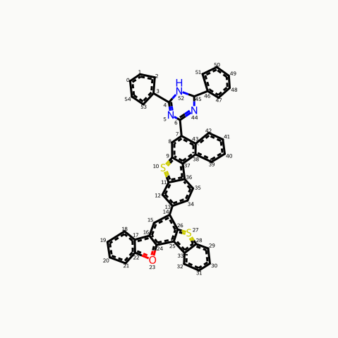 c1ccc(C2=NC(c3cc4sc5cc(-c6cc7c8ccccc8oc7c7c6sc6ccccc67)ccc5c4c4ccccc34)=NC(c3ccccc3)N2)cc1